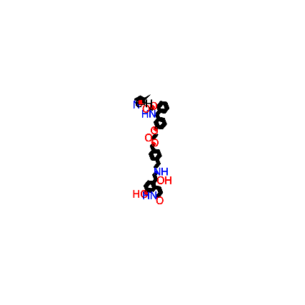 O=C(COc1cccc(C(NC(=O)O[C@H]2CN3CCC2CC3)c2ccccc2)c1)OCc1ccc(CCNC[C@H](O)c2ccc(O)c3[nH]c(=O)ccc23)cc1